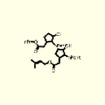 CCCCCC1C(O)CCC1CC(=O)OCC=C(C)C.CCCCCC1C(O)CCC1CC(=O)OCCC